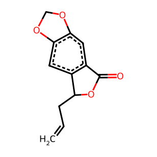 C=CCC1OC(=O)c2cc3c(cc21)OCO3